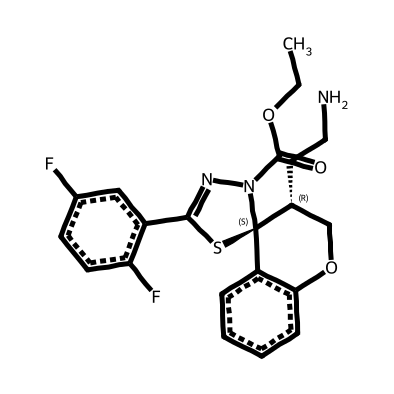 CCOC(=O)N1N=C(c2cc(F)ccc2F)S[C@@]12c1ccccc1OC[C@H]2CCN